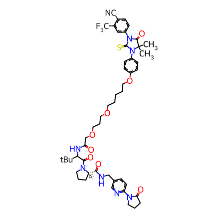 CC(C)(C)C(NC(=O)COCCCOCCCCCOc1ccc(N2C(=S)N(c3ccc(C#N)c(C(F)(F)F)c3)C(=O)C2(C)C)cc1)C(=O)N1CCC[C@H]1C(=O)NCc1ccc(N2CCCC2=O)nc1